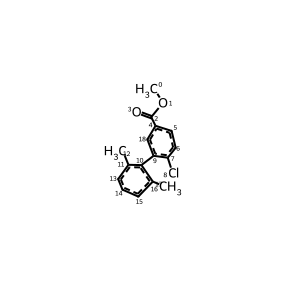 COC(=O)c1ccc(Cl)c(-c2c(C)cccc2C)c1